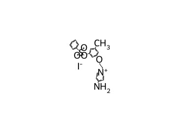 Cc1cc(OCC[n+]2ccc(N)cc2)cc(OS(=O)(=O)c2ccccc2)c1.[I-]